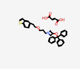 O=C(O)C=CC(=O)O.c1ccc(C(OC2CN(CCCOCCc3ccc4sccc4c3)C2)(c2ccccc2)c2ccccc2)cc1